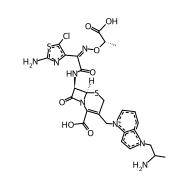 CC(N)Cn1ccc2c1ccc[n+]2CC1=C(C(=O)O)N2C(=O)[C@@H](NC(=O)/C(=N\O[C@@H](C)C(=O)O)c3nc(N)sc3Cl)[C@H]2SC1